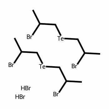 Br.Br.CC(Br)C[Te]CC(C)Br.CC(Br)C[Te]CC(C)Br